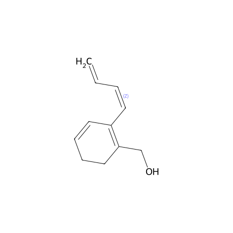 C=C/C=C\C1=C(CO)CCC=C1